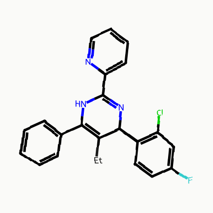 CCC1=C(c2ccccc2)NC(c2ccccn2)=NC1c1ccc(F)cc1Cl